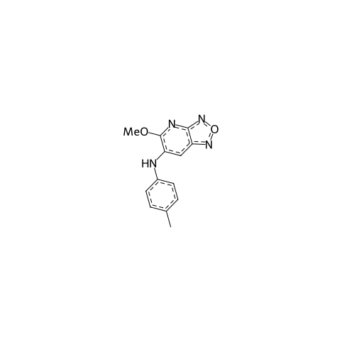 COc1nc2nonc2cc1Nc1ccc(C)cc1